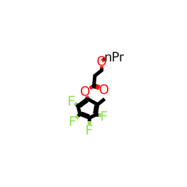 CCCOCCC(=O)Oc1c(C)c(F)c(F)c(F)c1F